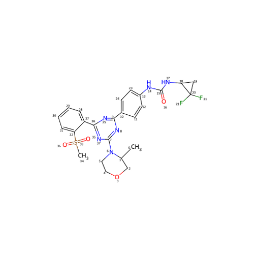 CC1COCCN1c1nc(-c2ccc(NC(=O)NC3CC3(F)F)cc2)nc(-c2ccccc2S(C)(=O)=O)n1